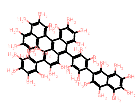 Bc1c(B)c(B)c(-c2c(B)c(B)c3c(-c4c(B)c(B)c(-c5c(B)c(B)c6c(B)c(B)c(B)c(B)c6c5B)c(B)c4B)c4c(B)c(B)c(B)c(B)c4c(-c4c(B)c(B)c(B)c5c(B)c(B)c(B)c(B)c45)c3c2B)c(B)c1B